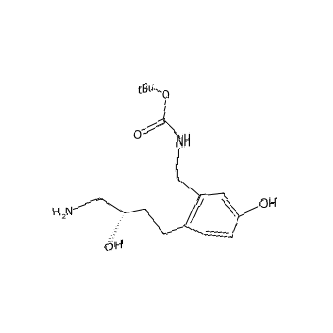 CC(C)(C)OC(=O)NCc1cc(O)ccc1CC[C@H](O)CN